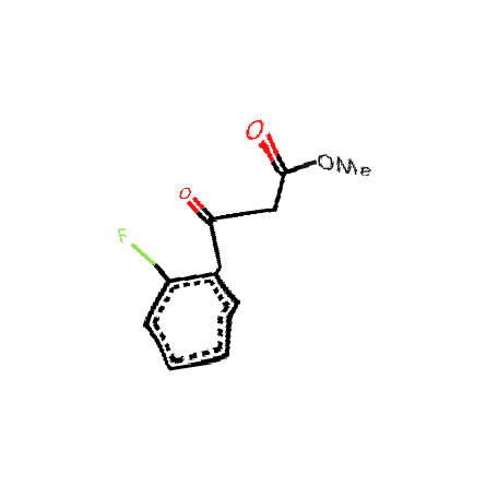 COC(=O)CC(=O)c1ccccc1F